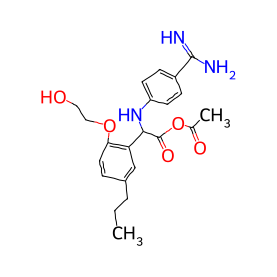 CCCc1ccc(OCCO)c(C(Nc2ccc(C(=N)N)cc2)C(=O)OC(C)=O)c1